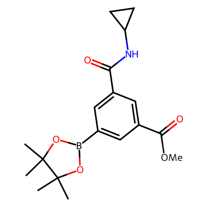 COC(=O)c1cc(B2OC(C)(C)C(C)(C)O2)cc(C(=O)NC2CC2)c1